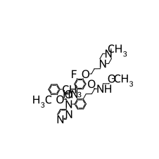 COCCNC(=O)CCc1cccc(N(C(=O)Oc2c(C)cccc2C)c2ccncn2)c1Nc1ccc(OCCCN2CCN(C)CC2)c(F)c1